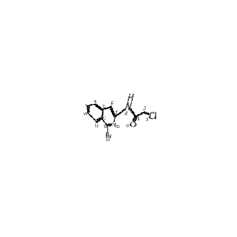 O=C(CCl)Nc1cc2ccccc2c(Br)n1